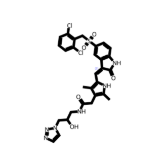 Cc1[nH]c(/C=C2\C(=O)Nc3ccc(S(=O)(=O)Cc4c(Cl)cccc4Cl)cc32)c(C)c1CC(=O)NCC(O)Cn1ccnn1